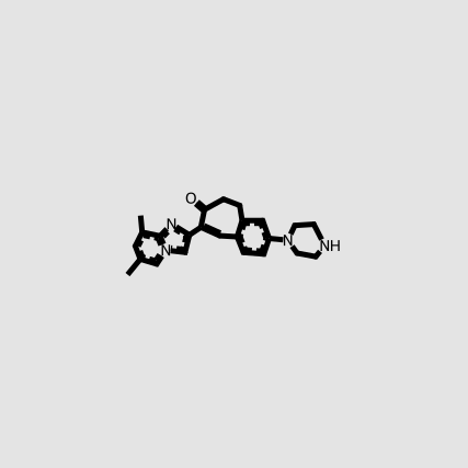 Cc1cc(C)c2nc(C3=Cc4ccc(N5CCNCC5)cc4CCC3=O)cn2c1